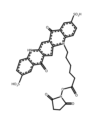 O=C(CCCCCn1c2ccc(S(=O)(=O)O)cc2c(=O)c2cc3[nH]c4ccc(S(=O)(=O)O)cc4c(=O)c3cc21)ON1C(=O)CCC1=O